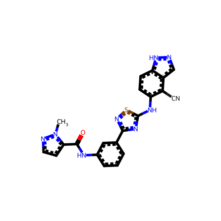 Cn1nccc1C(=O)Nc1cccc(-c2nsc(Nc3ccc4[nH]ncc4c3C#N)n2)c1